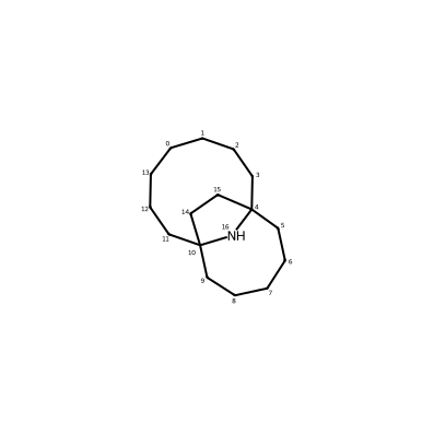 C1CCCC23CCCCCC(CCC1)(CC2)N3